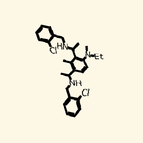 CCN(C)c1ccc(C(C)NCc2ccccc2Cl)c(C)c1C(C)NCc1ccccc1Cl